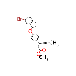 CC#CC(CC(=O)OC)c1ccc(OC2CCc3ccc(Br)cc32)cc1